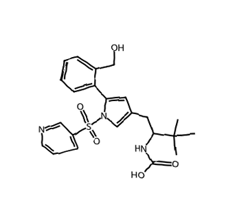 CC(C)(C)C(Cc1cc(-c2ccccc2CO)n(S(=O)(=O)c2cccnc2)c1)NC(=O)O